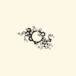 CCn1c(-c2cccnc2[C@H](C)OC)c2c3cc(ccc31)-c1csc(n1)C[C@H](NC(=O)[C@H](C(C)C)N(C)C(=O)N1CC[C@@H]1CN)C(=O)N1CCC[C@H](N1)C(=O)OCC(C)(C)C2